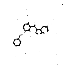 O=C(c1c(F)ccc(OCc2ccccc2)c1F)c1c[nH]c2ncc(Cl)cc12